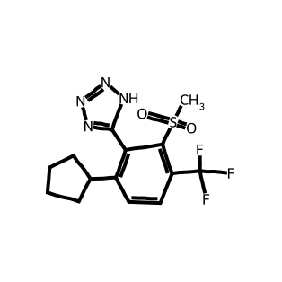 CS(=O)(=O)c1c(C(F)(F)F)ccc(C2CCCC2)c1-c1nnn[nH]1